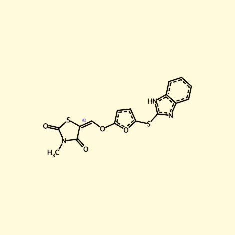 CN1C(=O)S/C(=C/Oc2ccc(Sc3nc4ccccc4[nH]3)o2)C1=O